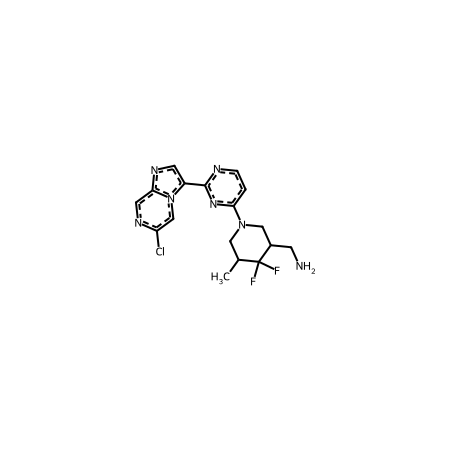 CC1CN(c2ccnc(-c3cnc4cnc(Cl)cn34)n2)CC(CN)C1(F)F